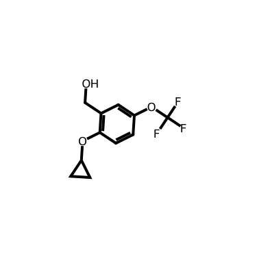 OCc1cc(OC(F)(F)F)ccc1OC1CC1